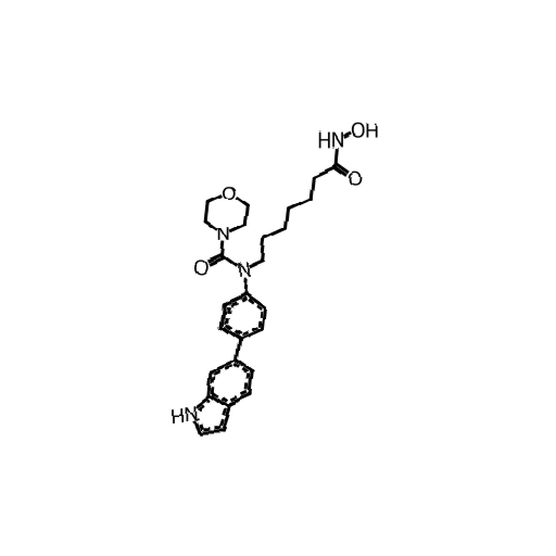 O=C(CCCCCCN(C(=O)N1CCOCC1)c1ccc(-c2ccc3cc[nH]c3c2)cc1)NO